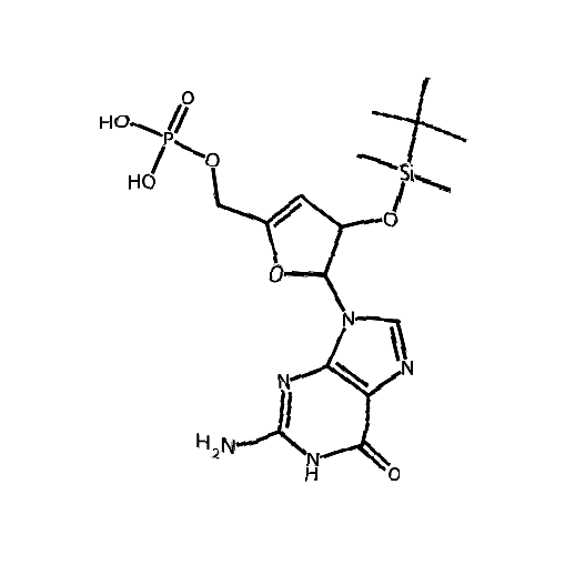 CC(C)(C)[Si](C)(C)OC1C=C(COP(=O)(O)O)OC1n1cnc2c(=O)[nH]c(N)nc21